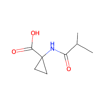 CC(C)C(=O)NC1(C(=O)O)CC1